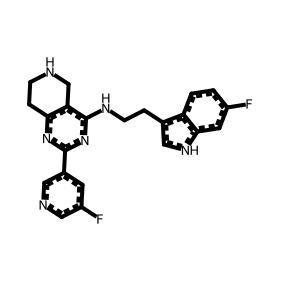 Fc1cncc(-c2nc3c(c(NCCc4c[nH]c5cc(F)ccc45)n2)CNCC3)c1